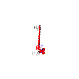 CCCCCCCCCCCCSCCCCCCCCCCNC(=O)OC(=O)CCCCC(CCCC)N(C1CCCCC1)C1CCCCC1